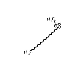 CCCCCCCCCCCCCCCCCCCC(=O)ONCCC